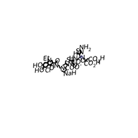 CCn1cc(C(=O)NCC[N+]2(CC3=C(C(=O)[O-])N4C(=O)[C@@H](NC(=O)/C(=N\O[C@@H](CC(=O)O)C(=O)O)c5csc(N)n5)[C@H]4SC3)CCCC2)c(=O)c2c(Cl)c(O)c(O)cc21.[NaH]